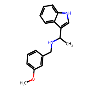 COc1cccc(CNC(C)c2c[nH]c3ccccc23)c1